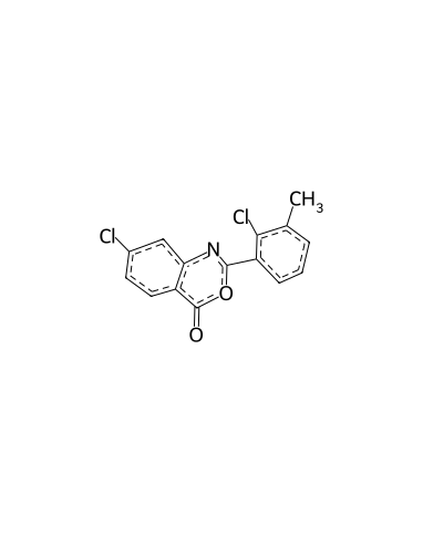 Cc1cccc(-c2nc3cc(Cl)ccc3c(=O)o2)c1Cl